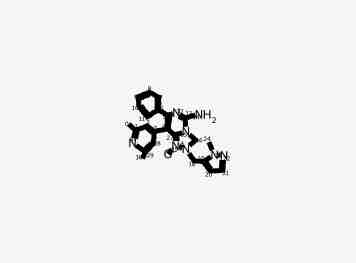 Cc1cc(C2=C(c3ccccc3)N=C(N)N3CN(Cc4ccnn4C)[N+]([O-])=C23)cc(C)n1